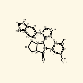 Cc1cc(C(F)(F)F)cc(N2C(=O)C3CCCC3C2c2nncn2-c2ccc3ncsc3c2)n1